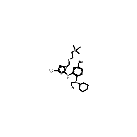 CCC(C)c1ccc(N(CC(C)C)C2CCCCC2)c(Nc2nc(C(F)(F)F)cn2COCC[Si](C)(C)C)c1